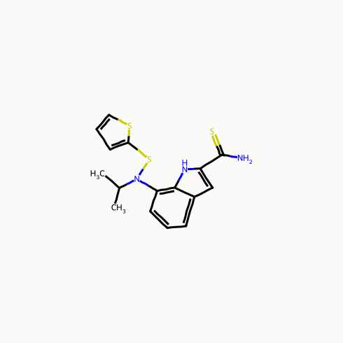 CC(C)N(Sc1cccs1)c1cccc2cc(C(N)=S)[nH]c12